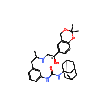 CC(Cc1cccc(NC(=O)NC23CC4CC(CC(C4)C2)C3)c1)NC[C@H](O)c1ccc2c(c1)COC(C)(C)O2